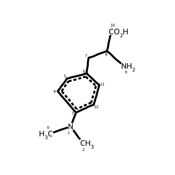 CN(C)c1ccc(CC(N)C(=O)O)cc1